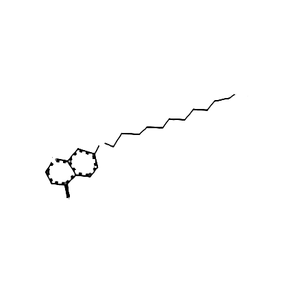 CCCCCCCCCCCCOc1ccc2c(=S)cc[nH]c2c1